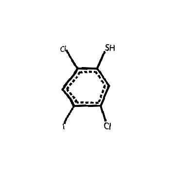 Sc1cc(Cl)c(I)cc1Cl